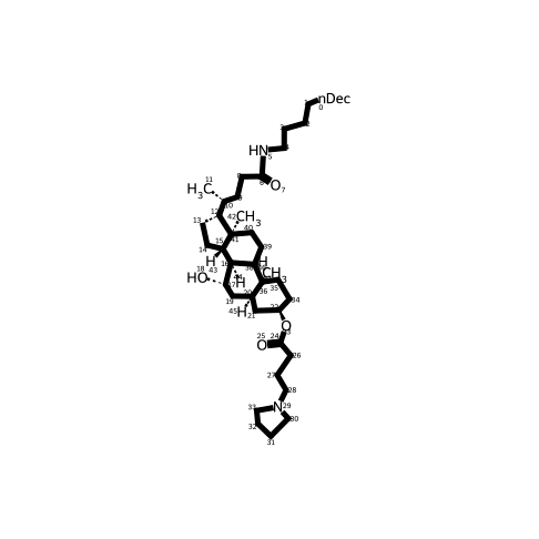 CCCCCCCCCCCCCCNC(=O)CC[C@@H](C)[C@H]1CC[C@H]2[C@@H]3[C@@H](O)C[C@@H]4C[C@H](OC(=O)CCCN5CCCC5)CC[C@]4(C)[C@H]3CC[C@]12C